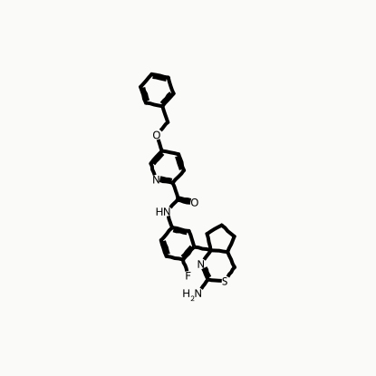 NC1=NC2(c3cc(NC(=O)c4ccc(OCc5ccccc5)cn4)ccc3F)CCCC2CS1